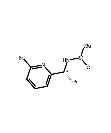 CCC[C@@H](N[S+]([O-])C(C)(C)C)c1cccc(Br)n1